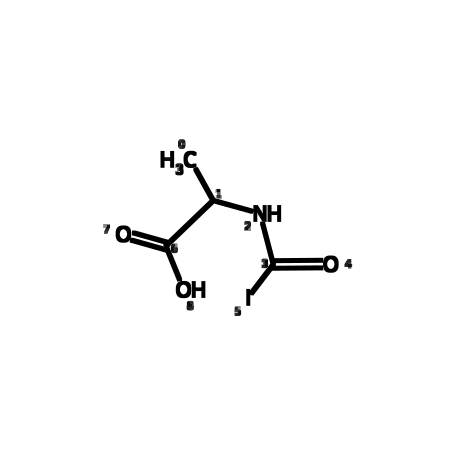 CC(NC(=O)I)C(=O)O